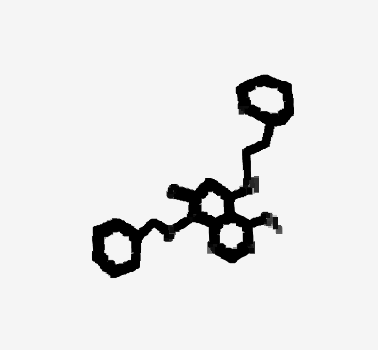 Cc1ncnc2c1c(NCCc1ccccn1)cc(=O)n2OCc1ccccc1